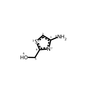 Nc1csc(CO)n1